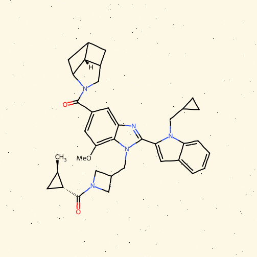 COc1cc(C(=O)N2CC3CC4CC2[C@H]43)cc2nc(-c3cc4ccccc4n3CC3CC3)n(CC3CN(C(=O)[C@@H]4C[C@H]4C)C3)c12